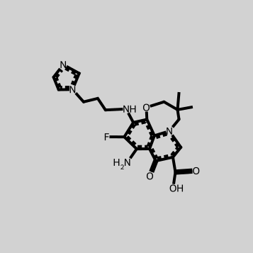 CC1(C)COc2c(NCCCn3ccnc3)c(F)c(N)c3c(=O)c(C(=O)O)cn(c23)C1